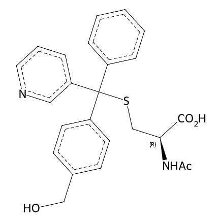 CC(=O)N[C@@H](CSC(c1ccccc1)(c1ccc(CO)cc1)c1cccnc1)C(=O)O